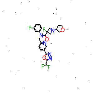 O=C(N(Cc1ccc(-c2nnc(C(F)F)o2)cn1)c1cccc(F)c1)C1(F)CN(C2CCOC2)C1